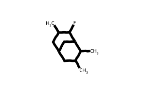 CC1CC2CC(C)C(F)C(C2)C1C